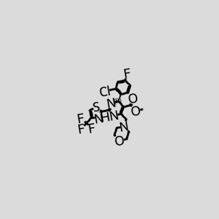 COC(=O)C1=C(CN2CCOCC2)NC(c2nc(C(F)(F)F)cs2)=N[C@H]1c1ccc(F)cc1Cl